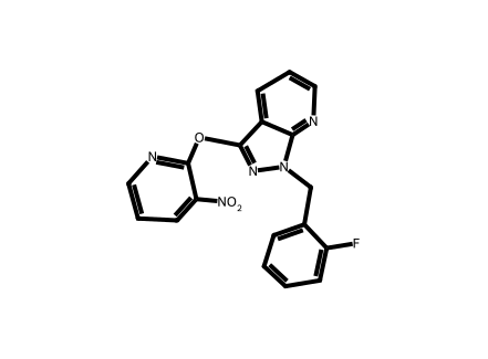 O=[N+]([O-])c1cccnc1Oc1nn(Cc2ccccc2F)c2ncccc12